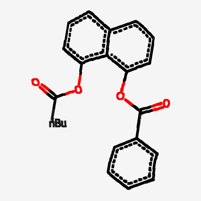 CCCCC(=O)Oc1cccc2cccc(OC(=O)c3ccccc3)c12